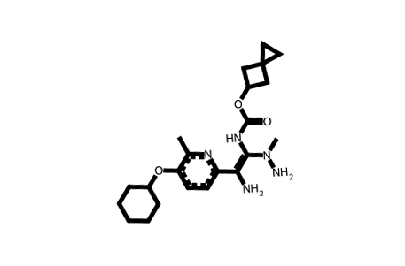 Cc1nc(/C(N)=C(\NC(=O)OC2CC3(CC3)C2)N(C)N)ccc1OC1CCCCC1